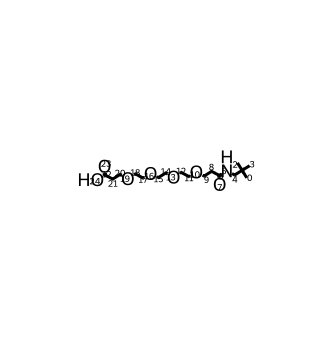 CC(C)(C)CNC(=O)CCOCCOCCOCCOCCC(=O)O